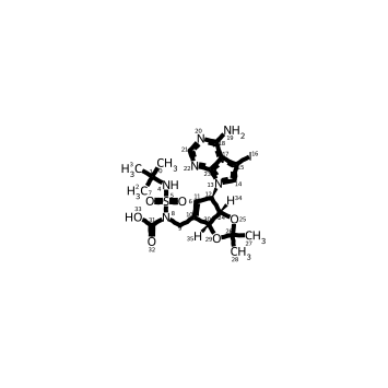 CC(C)(C)NS(=O)(=O)N(CC1=C[C@@H](n2cc(I)c3c(N)ncnc32)[C@@H]2OC(C)(C)O[C@H]12)C(=O)O